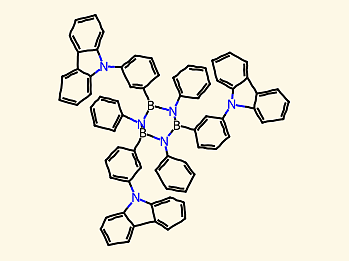 c1ccc(N2B(c3cccc(-n4c5ccccc5c5ccccc54)c3)N(c3ccccc3)B(c3cccc(-n4c5ccccc5c5ccccc54)c3)N(c3ccccc3)B2c2cccc(-n3c4ccccc4c4ccccc43)c2)cc1